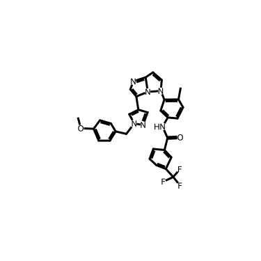 COc1ccc(Cn2cc(-c3cnc4ccn(-c5cc(NC(=O)c6cccc(C(F)(F)F)c6)ccc5C)n34)cn2)cc1